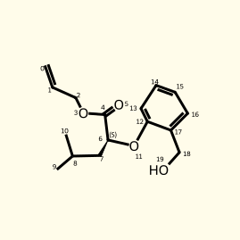 C=CCOC(=O)[C@H](CC(C)C)Oc1ccccc1CO